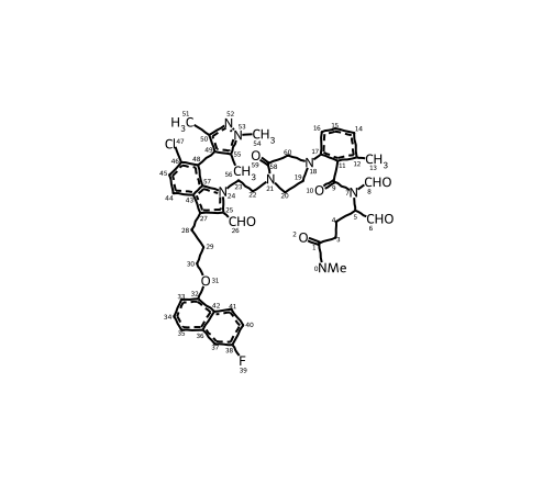 CNC(=O)CCC(C=O)N(C=O)C(=O)c1c(C)cccc1N1CCN(CCn2c(C=O)c(CCCOc3cccc4cc(F)ccc34)c3ccc(Cl)c(-c4c(C)nn(C)c4C)c32)C(=O)C1